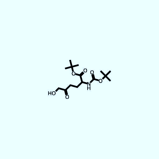 CC(C)(C)OC(=O)NC(CCC(=O)CO)C(=O)OC(C)(C)C